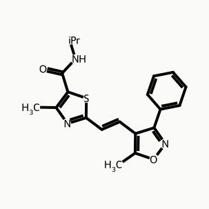 Cc1nc(C=Cc2c(-c3ccccc3)noc2C)sc1C(=O)NC(C)C